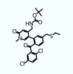 CCSCc1ccc(C(=O)c2cc(Cl)ccc2Cl)c(-c2cn(C)c(=O)cc2CNC(=O)OC(C)(C)C)c1